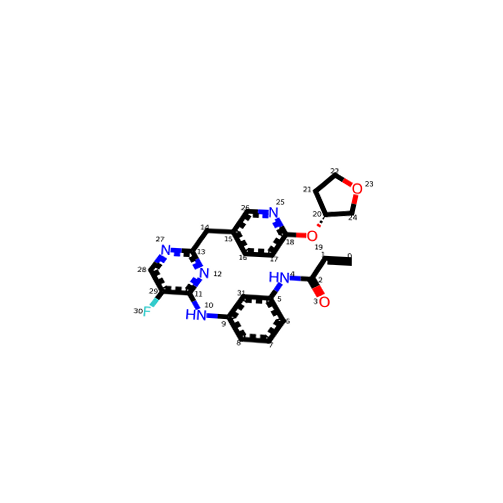 C=CC(=O)Nc1cccc(Nc2nc(Cc3ccc(O[C@@H]4CCOC4)nc3)ncc2F)c1